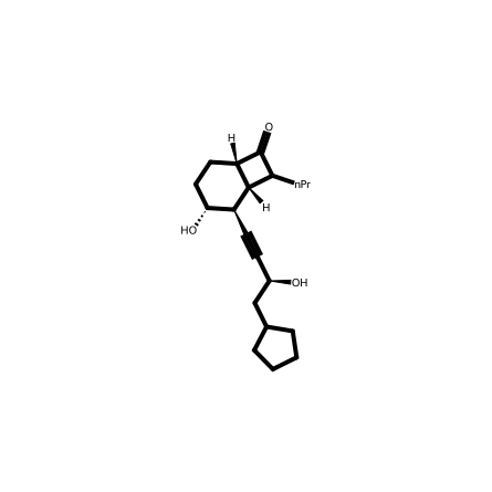 CCCC1C(=O)[C@H]2CC[C@@H](O)[C@H](C#C[C@@H](O)CC3CCCC3)[C@@H]12